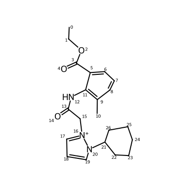 CCOC(=O)c1cccc(C)c1NC(=O)C[n+]1cccn1C1CCCCC1